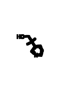 CC(C)(CO)c1cccnc1